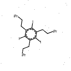 CC(C)CCc1c(I)c(CCC(C)C)c(I)c(CCC(C)C)c1I